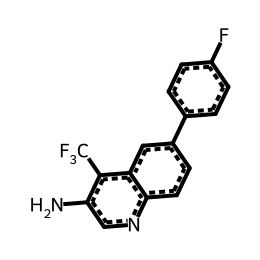 Nc1cnc2ccc(-c3ccc(F)cc3)cc2c1C(F)(F)F